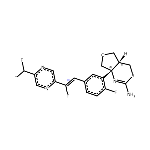 NC1=N[C@]2(c3cc(/C=C(\F)c4cnc(C(F)F)cn4)ccc3F)COC[C@@H]2CS1